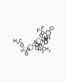 CCOCC1(C(=O)N2CCC(CN3CCC(C(=O)Nc4ccc(Cl)cc4OC(F)F)(n4nccc4C(C)C)CC3)(C(=O)O)CC2)CC1